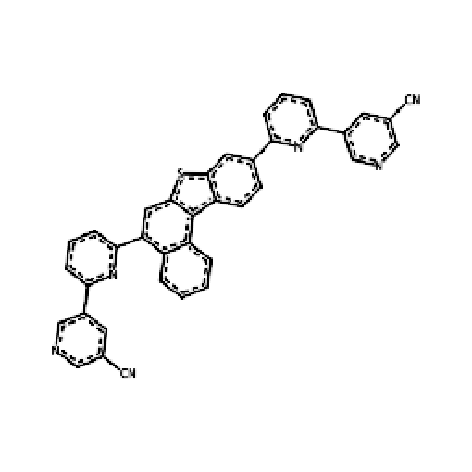 N#Cc1cncc(-c2cccc(-c3ccc4c(c3)sc3cc(-c5cccc(-c6cncc(C#N)c6)n5)c5ccccc5c34)n2)c1